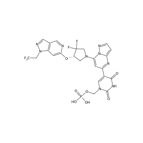 O=c1[nH]c(=O)n(COP(=O)(O)O)cc1-c1cc(N2C[C@H](Oc3cc4c(cn3)cnn4CC(F)(F)F)C(F)(F)C2)n2nccc2n1